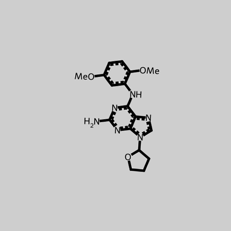 COc1ccc(OC)c(Nc2nc(N)nc3c2ncn3C2CCCO2)c1